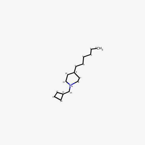 CCCCCCC1CCN(CC2CCC2)CC1